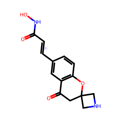 O=C(/C=C/c1ccc2c(c1)C(=O)CC1(CNC1)O2)NO